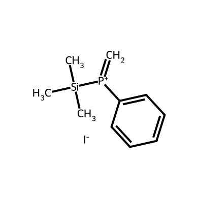 C=[P+](c1ccccc1)[Si](C)(C)C.[I-]